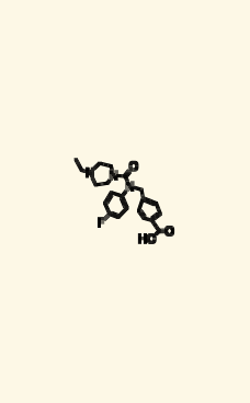 CCN1CCN(C(=O)N(Cc2ccc(C(=O)O)cc2)c2ccc(F)cc2)CC1